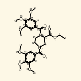 CCOC(=O)C1CN(C(=O)c2cc(OC)c(OC)c(OC)c2)CCN1C(=O)c1cc(OC)c(OC)c(OC)c1